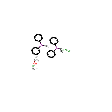 CO.CP(c1ccccc1)c1ccccc1.CP(c1ccccc1)c1ccccc1.[Cl-].[Cl-].[Cl-].[Cl-].[Li+].[Ru+3]